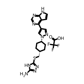 Nc1nnc(SC[C@H]2CC[C@@H](n3cc(-c4ncnc5[nH]ccc45)cn3)CC2)[nH]1.O=C(O)C(F)(F)F